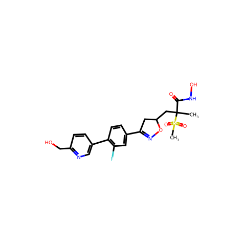 CC(CC1CC(c2ccc(-c3ccc(CO)nc3)c(F)c2)=NO1)(C(=O)NO)S(C)(=O)=O